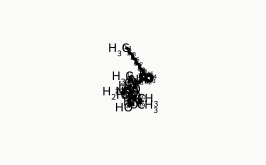 CCCCCCCCCCn1cc(CC(NC(C)=O)C(=O)NC(CC(N)=O)C(=O)NC(CC(=O)O)C(=O)NC(C)C)c2ccccc21